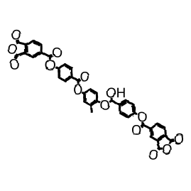 Cc1cc(OC(=O)c2ccc(OC(=O)c3ccc4c(c3)C(=O)OC4=O)cc2)ccc1OC(O)c1ccc(OC(=O)c2ccc3c(c2)C(=O)OC3=O)cc1